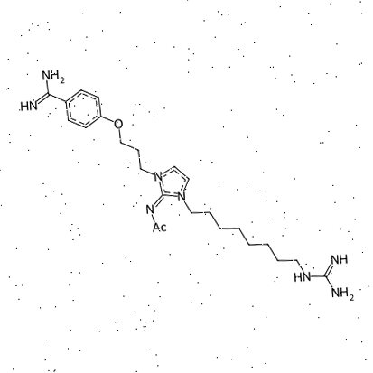 CC(=O)/N=c1\n(CCCCCCCCNC(=N)N)ccn1CCCOc1ccc(C(=N)N)cc1